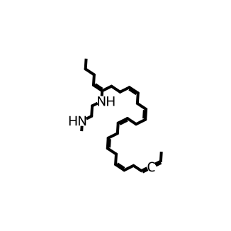 CC=C=CC/C=C\C/C=C\C/C=C\C/C=C\C/C=C\CC/C(=C\CCC)NCCNC